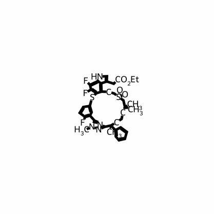 CCOC(=O)Cc1c[nH]c2c(F)c(F)c3c(c12)CCS(=O)(=O)CC(C)(C)CCC[C@](C)(c1ccccc1)c1nc(n(C)n1)-c1cc(ccc1F)S3